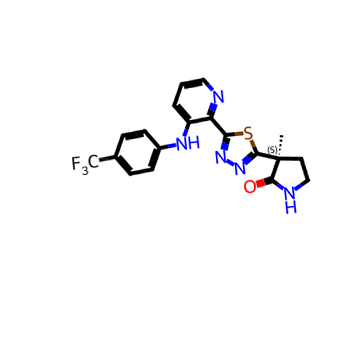 C[C@]1(c2nnc(-c3ncccc3Nc3ccc(C(F)(F)F)cc3)s2)CCNC1=O